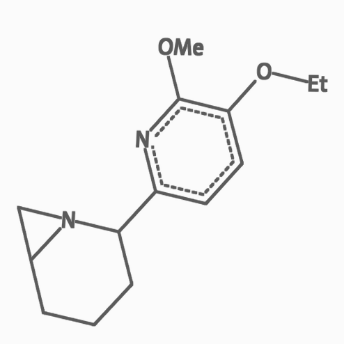 CCOc1ccc(C2CCCC3CN32)nc1OC